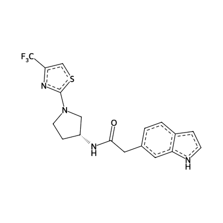 O=C(Cc1ccc2cc[nH]c2c1)N[C@@H]1CCN(c2nc(C(F)(F)F)cs2)C1